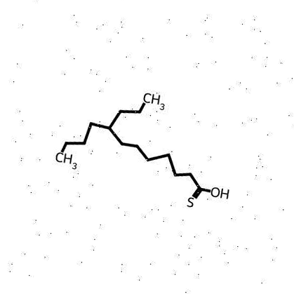 CCCCC(CCC)CCCCCCC(O)=S